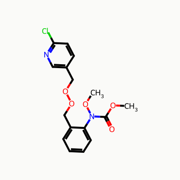 COC(=O)N(OC)c1ccccc1COOCc1ccc(Cl)nc1